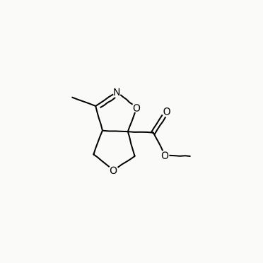 COC(=O)C12COCC1C(C)=NO2